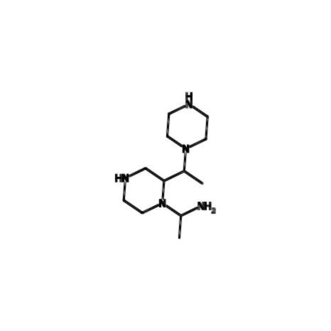 CC(C1CNCCN1C(C)N)N1CCNCC1